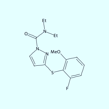 CCN(CC)C(=O)n1ccc(Sc2c(F)cccc2OC)n1